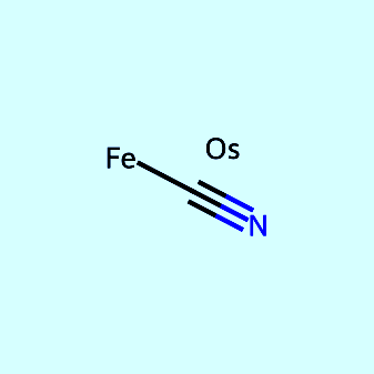 N#[C][Fe].[Os]